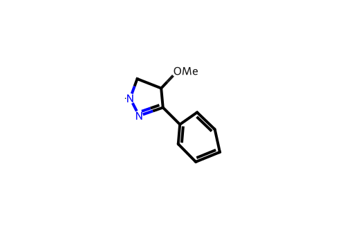 COC1C[N]N=C1c1ccccc1